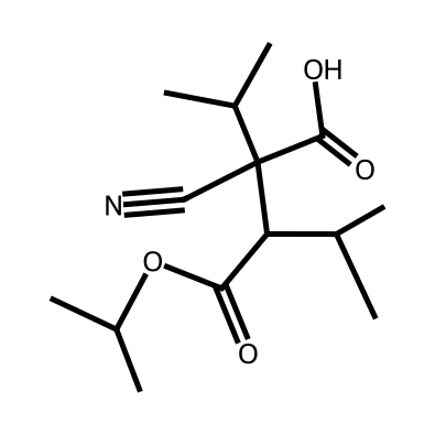 CC(C)OC(=O)C(C(C)C)C(C#N)(C(=O)O)C(C)C